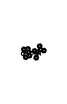 O=P(c1ccccc1)(c1ccccc1)c1c2ccccc2c(-c2ccc3c(n2)c(-c2ccccc2)nc2c4ccccc4c4ccccc4c32)c2ccccc12